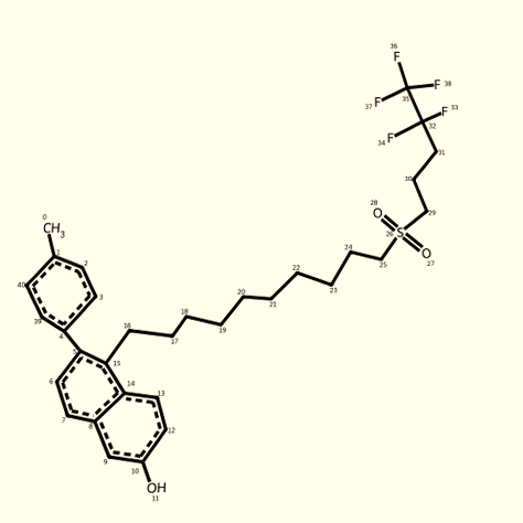 Cc1ccc(-c2ccc3cc(O)ccc3c2CCCCCCCCCCS(=O)(=O)CCCC(F)(F)C(F)(F)F)cc1